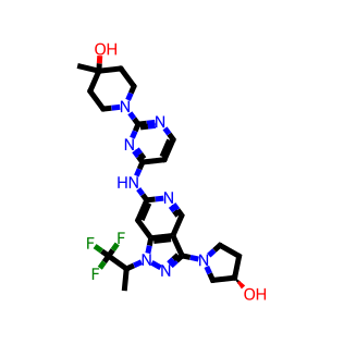 CC(n1nc(N2CC[C@@H](O)C2)c2cnc(Nc3ccnc(N4CCC(C)(O)CC4)n3)cc21)C(F)(F)F